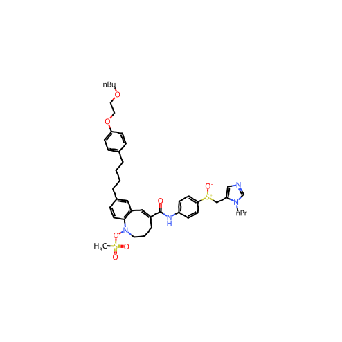 CCCCOCCOc1ccc(CCCCc2ccc3c(c2)C=C(C(=O)Nc2ccc([S+]([O-])Cc4cncn4CCC)cc2)CCCN3OS(C)(=O)=O)cc1